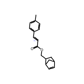 Cc1ccc(/C=C/C(=O)OCC2CC3C=CC2C3)cc1